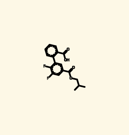 CC(C)COC(=O)c1cc(F)c(F)c(-c2ccccc2C(=O)O)c1